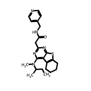 CCC(C)N(C)c1nc(CC(=O)NCc2ccncc2)nc2sc3c(c12)CCCC3